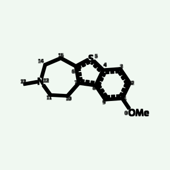 COc1ccc2sc3c(c2c1)CCN(C)CC3